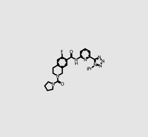 CC(C)n1nnnc1-c1cccc(NC(=O)c2cc3c(cc2F)CCN(C(=O)N2CCCC2)C3)n1